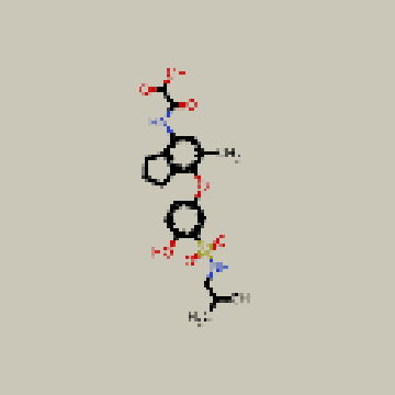 Cc1cc(NC(=O)C(=O)O)c2c(c1Oc1ccc(O)c(S(=O)(=O)NCC(C)C)c1)CCC2